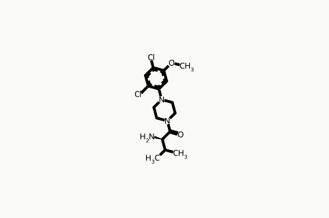 COc1cc(N2CCN(C(=O)[C@H](N)C(C)C)CC2)c(Cl)cc1Cl